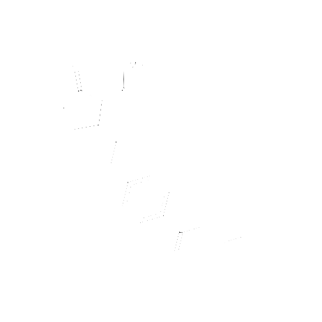 COC(=O)C1C(=O)CCC1CCc1ccc(C(=O)OOC(C)(C)C)cc1